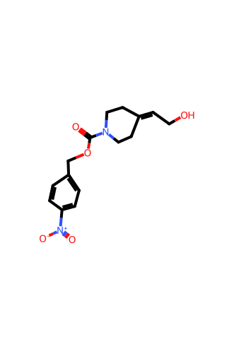 O=C(OCc1ccc([N+](=O)[O-])cc1)N1CCC(=CCO)CC1